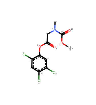 CN(CC(=O)Oc1cc(Cl)c(Cl)cc1Cl)C(=O)OC(C)(C)C